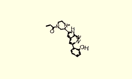 C=CC(=O)N1CCN(C)C(c2cc3cc(-c4ccccc4O)nnc3[nH]2)C1